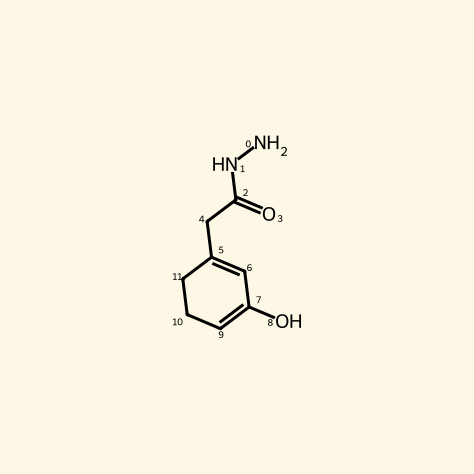 NNC(=O)CC1=CC(O)=CCC1